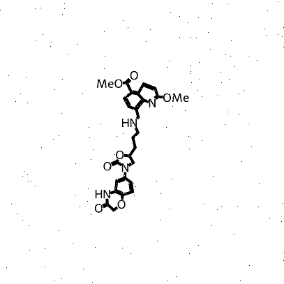 COC(=O)c1ccc(CNCCCC2CN(c3ccc4c(c3)NC(=O)CO4)C(=O)O2)c2nc(OC)ccc12